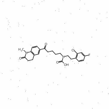 CN1C(=O)CCc2cc(C(=O)CCCCN(CCc3ccc(F)cc3Cl)C(=O)O)ccc21